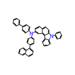 c1ccc(-c2ccc(N(c3ccc(-c4cccc5ccccc45)cc3)c3ccc4ccc5c(c4c3)c3ccccc3n5-c3ccccc3)cc2)cc1